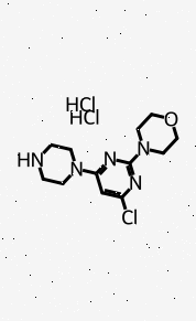 Cl.Cl.Clc1cc(N2CCNCC2)nc(N2CCOCC2)n1